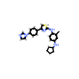 Cc1cc(NC2CCCC2)ccc1Nc1nc(-c2ccc(-n3ccnc3)cc2)cs1